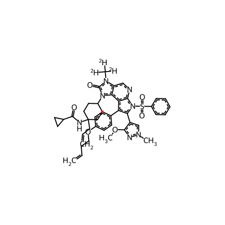 [2H]C([2H])([2H])n1c(=O)n(C2CCC(CC=C)(NC(=O)C3CC3)CC2)c2c3c(-c4ccc(OCCC=C)cc4)c(-c4cn(C)nc4OC)n(S(=O)(=O)c4ccccc4)c3ncc21